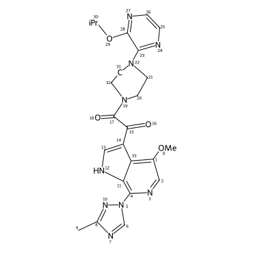 COc1cnc(-n2cnc(C)n2)c2[nH]cc(C(=O)C(=O)N3CCN(c4nccnc4OC(C)C)CC3)c12